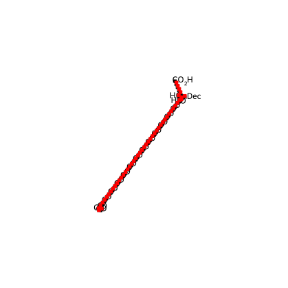 CCCCCCCCCCCC(CO)(CCCCCCCCCCC(=O)O)C(=O)NCCOCCOCCOCCOCCOCCOCCOCCOCCOCCOCCOCCOCCOCCOCCOCCOCCOCCOCCOCCOCCOCCOCCOCCOCCC(=O)ON1C(=O)CCC1=O